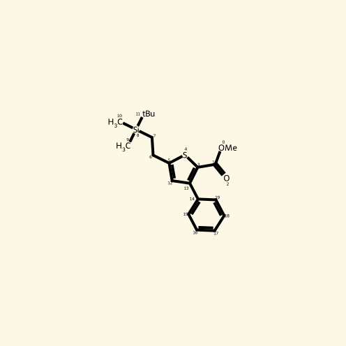 COC(=O)c1sc(CC[Si](C)(C)C(C)(C)C)cc1-c1ccccc1